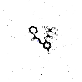 CC(C)(C)OC(=O)Oc1ccc(Cl)cc1/C=C/C(=O)N1CCCCC1